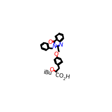 CCC(C)OC(Cc1ccc(OCc2nc3ccccc3c(=O)n2Cc2ccccc2)cc1)C(=O)O